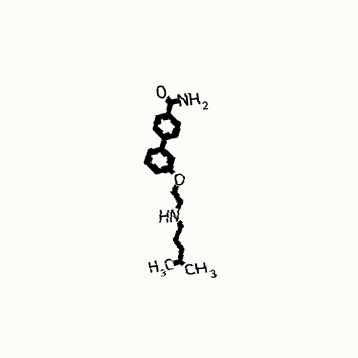 CC(C)CCCNCCOc1cccc(-c2ccc(C(N)=O)cc2)c1